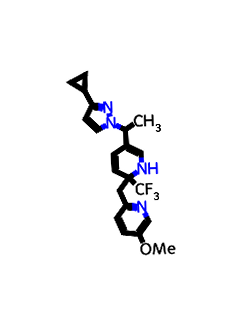 COc1ccc(CC2(C(F)(F)F)C=CC(C(C)n3ccc(C4CC4)n3)=CN2)nc1